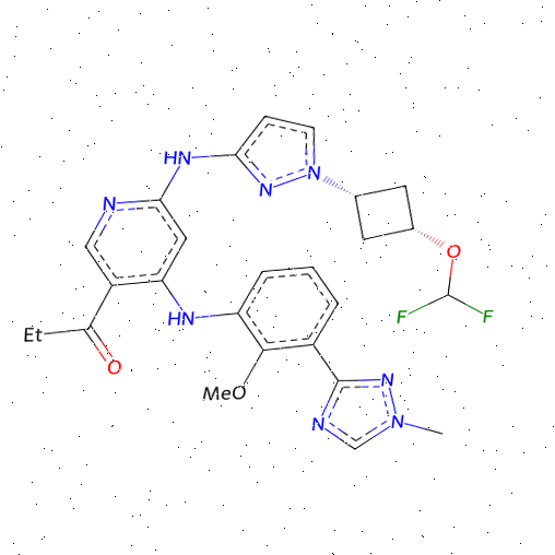 CCC(=O)c1cnc(Nc2ccn([C@H]3C[C@@H](OC(F)F)C3)n2)cc1Nc1cccc(-c2ncn(C)n2)c1OC